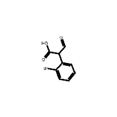 O=CC(C(=O)O)c1ccccc1Br